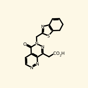 O=C(O)Cc1nn(Cc2nc3c(s2)CCC=C3)c(=O)c2ccnnc12